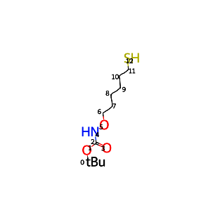 CC(C)(C)OC(=O)NOCCCCCCS